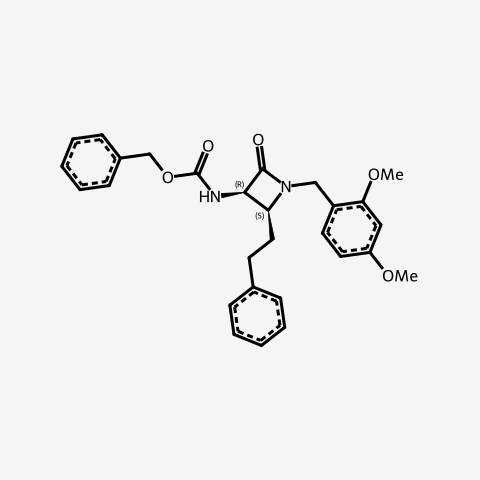 COc1ccc(CN2C(=O)[C@H](NC(=O)OCc3ccccc3)[C@@H]2CCc2ccccc2)c(OC)c1